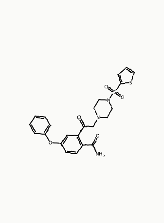 NC(=O)c1ccc(Oc2ccccc2)cc1C(=O)CN1CCN(S(=O)(=O)c2cccs2)CC1